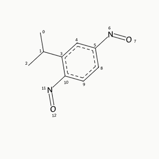 CC(C)c1cc(N=O)ccc1N=O